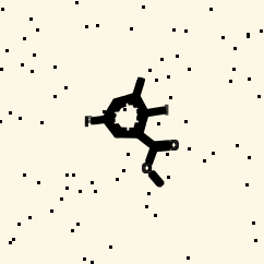 COC(=O)c1cc(F)cc(C)c1I